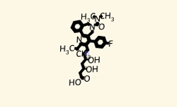 CC(C)c1nc2c(c(-c3ccc(F)cc3)c1/C=C/[C@@H](O)C[C@@H](O)CC(=O)O)CN(C(=O)N(C)C)Cc1ccccc1-2